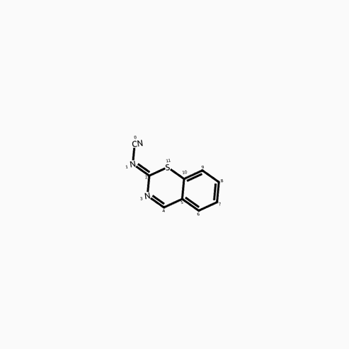 N#CN=c1ncc2ccccc2s1